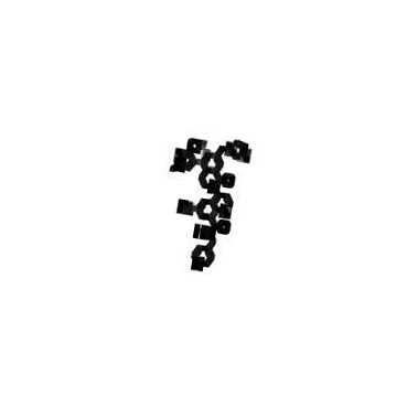 CCc1cc(C(=O)NCc2ccncc2)c2nccc(N3CCc4c(cc(Cn5ccnc5)cc4-c4cn(C)nc4C(F)(F)F)C3=O)c2c1